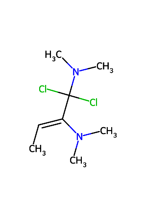 CC=C(N(C)C)C(Cl)(Cl)N(C)C